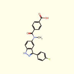 CN(C(=O)c1ccc(C(=O)O)cc1)c1ccc2[nH]nc(-c3ccc(F)cc3)c2c1